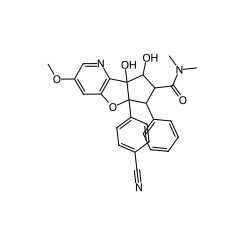 COc1cnc2c(c1)OC1(c3ccc(C#N)cc3)C(c3ccccc3)C(C(=O)N(C)C)C(O)C21O